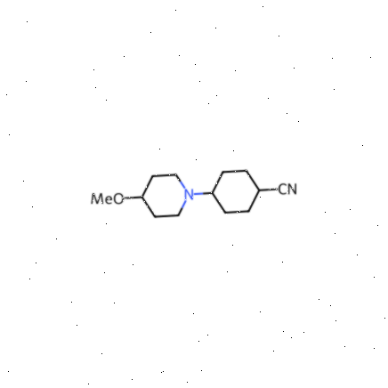 COC1CCN(C2CCC(C#N)CC2)CC1